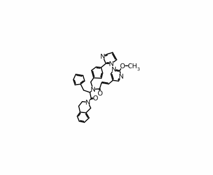 COc1ncc(C=CC(=O)N(Cc2ccc(-c3ncccn3)cc2)C(Cc2ccccc2)C(=O)N2CCc3ccccc3C2)cn1